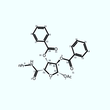 CCCNC(=O)[C@H]1O[C@@H](OC(C)=O)[C@H](OC(=O)c2ccccc2)[C@H]1OC(=O)c1ccccc1